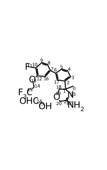 CC1(c2cccc(-c3ccc(F)c(OCC(F)(F)F)c3)c2)COCC(N)=N1.O=CO